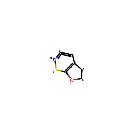 C1=CC2=C(OCC2)SN=1